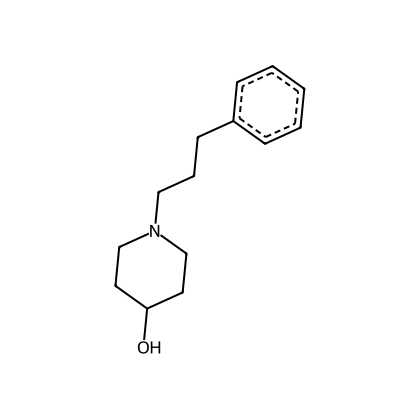 OC1CCN(CCCc2ccccc2)CC1